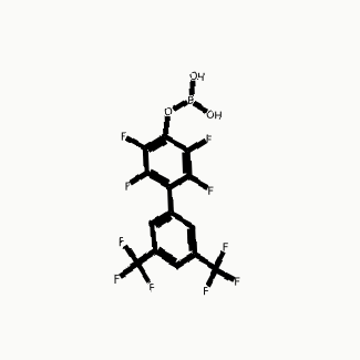 OB(O)Oc1c(F)c(F)c(-c2cc(C(F)(F)F)cc(C(F)(F)F)c2)c(F)c1F